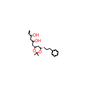 C=C[C@H](O)C[C@@H](O)C[C@H]1C[C@H](CCCc2ccccc2)OC(C)(C)O1